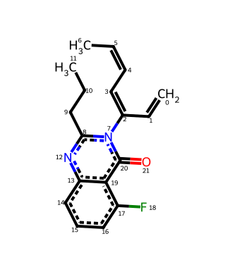 C=C/C(=C\C=C/C)n1c(CCC)nc2cccc(F)c2c1=O